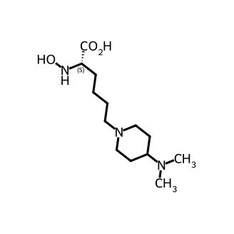 CN(C)C1CCN(CCCC[C@H](NO)C(=O)O)CC1